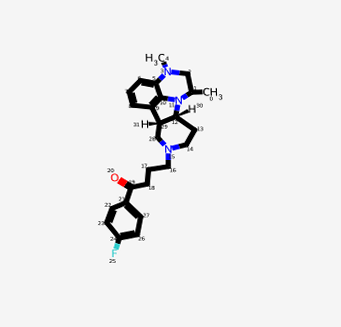 CC1CN(C)c2cccc3c2N1[C@@H]1CCN(CCCC(=O)c2ccc(F)cc2)C[C@H]31